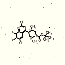 C[C@@H]1CC(c2nc(Cl)nc3c(F)c(Br)c(Cl)cc23)[C@@H](C)CN1C(=O)OC(C)(C)C